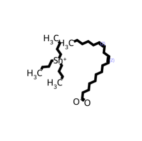 CCCCC/C=C\C/C=C\CCCCCCCC(=O)[O-].CCC[CH2][Sn+]([CH2]CCC)[CH2]CCC